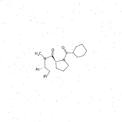 CC(=O)[C@@H](CC(C)C)N(C)C(=O)[C@@H]1CCCN1C(=O)C1CCCCC1